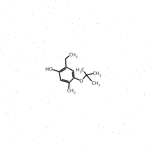 CCc1cc(OC(C)(C)C)c(C)cc1O